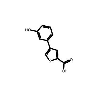 O=C(O)c1cc(-c2cccc(O)c2)cs1